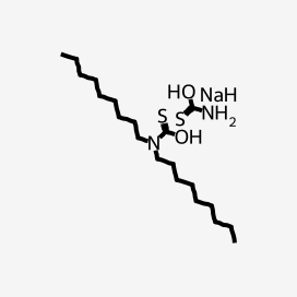 CCCCCCCCCN(CCCCCCCCC)C(O)=S.NC(O)=S.[NaH]